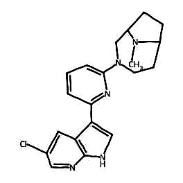 CN1C2CCC1CN(c1cccc(-c3c[nH]c4ncc(Cl)cc34)n1)CC2